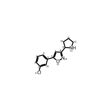 Clc1cccc(-c2cc(C3CCCN3)no2)c1